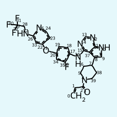 C=CC(=O)N1CCC(c2c[nH]c3ncnc(Nc4ccc(Oc5ccnc(NCC(F)(F)F)c5)cc4F)c23)CC1